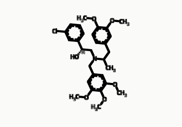 COc1ccc(CC(C)N(Cc2cc(OC)c(OC)c(OC)c2)C[C@H](O)c2cccc(Cl)c2)cc1OC